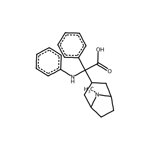 CN1C2CCC1CC(C(Nc1ccccc1)(C(=O)O)c1ccccc1)C2